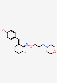 C[C@@H]1CCCC(=C\c2ccc(Br)cc2)/C1=N/OCCCN1CCOCC1